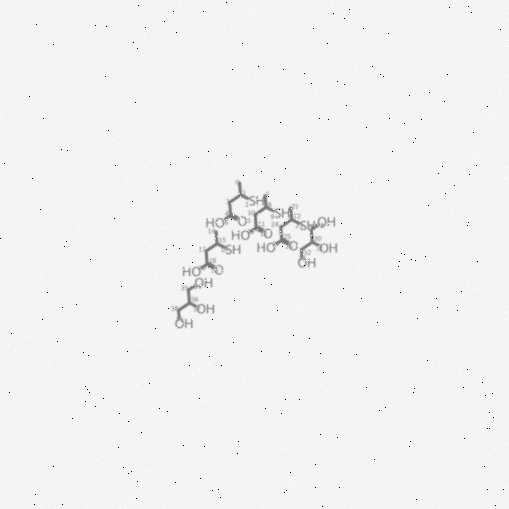 CC(S)CC(=O)O.CC(S)CC(=O)O.CC(S)CC(=O)O.CC(S)CC(=O)O.OCC(O)CO.OCC(O)CO